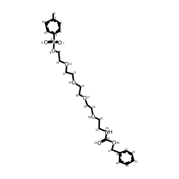 Cc1ccc(S(=O)(=O)OCCOCCOCCOCCOCCNC(=O)OCc2ccccc2)cc1